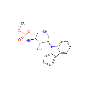 O=S(=O)(N[C@H]1CNC[C@@H](n2c3ccccc3c3ccccc32)[C@@H]1O)OC(F)(F)F